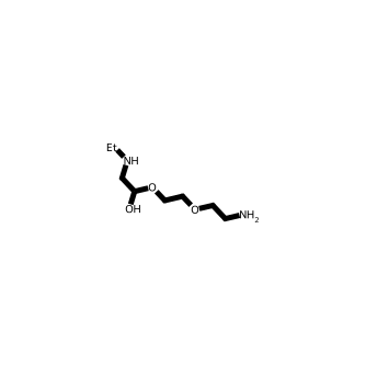 CCNCC(O)OCCOCCN